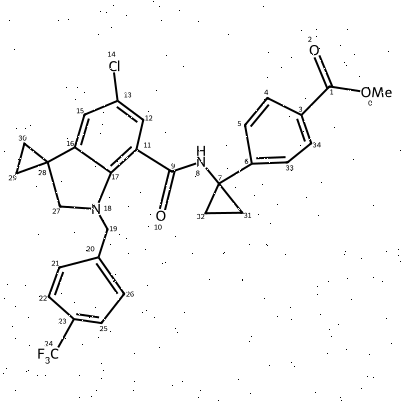 COC(=O)c1ccc(C2(NC(=O)c3cc(Cl)cc4c3N(Cc3ccc(C(F)(F)F)cc3)CC43CC3)CC2)cc1